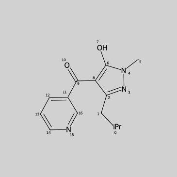 CC(C)Cc1nn(C)c(O)c1C(=O)c1cccnc1